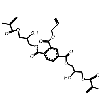 C=CCOC(=O)c1cc(C(=O)OCC(O)COC(=O)C(=C)C)ccc1C(=O)OCC(O)COC(=O)C(=C)C